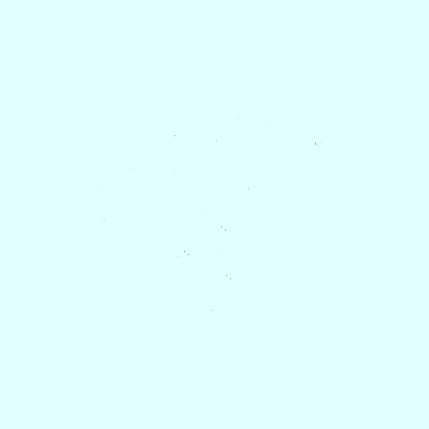 CCN(CC)C1=NC2=C(C3=CC=CC(OC)C=C3)C(=O)c3ccccc3C2=N1